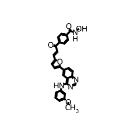 COc1cccc(Nc2ncnc3ccc(-c4ccc(C=CC(=O)c5ccc(C(=O)NO)cc5)o4)cc23)c1